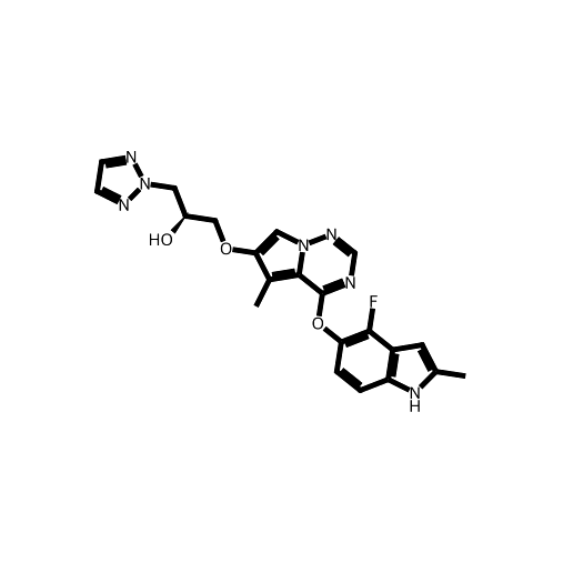 Cc1cc2c(F)c(Oc3ncnn4cc(OC[C@@H](O)Cn5nccn5)c(C)c34)ccc2[nH]1